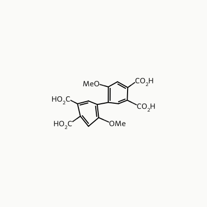 COc1cc(C(=O)O)c(C(=O)O)cc1-c1cc(C(=O)O)c(C(=O)O)cc1OC